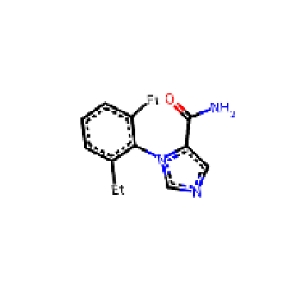 CCc1cccc(CC)c1-n1cncc1C(N)=O